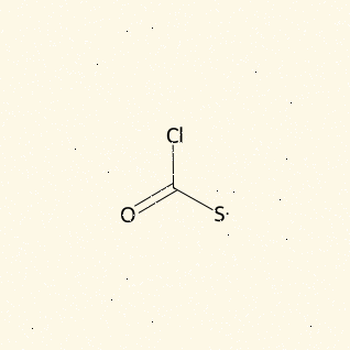 O=C([S])Cl